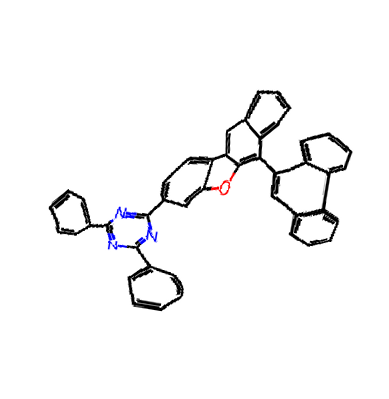 c1ccc(-c2nc(-c3ccccc3)nc(-c3ccc4c(c3)oc3c(-c5cc6ccccc6c6ccccc56)c5ccccc5cc34)n2)cc1